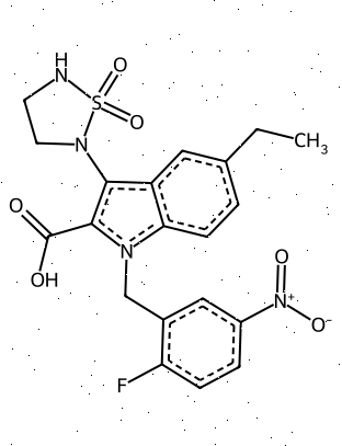 CCc1ccc2c(c1)c(N1CCNS1(=O)=O)c(C(=O)O)n2Cc1cc([N+](=O)[O-])ccc1F